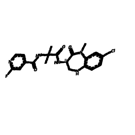 CN1C(=O)[C@H](NC(=O)C(C)(C)NC(=O)c2ccnc(F)c2)CNc2ccc(Cl)cc21